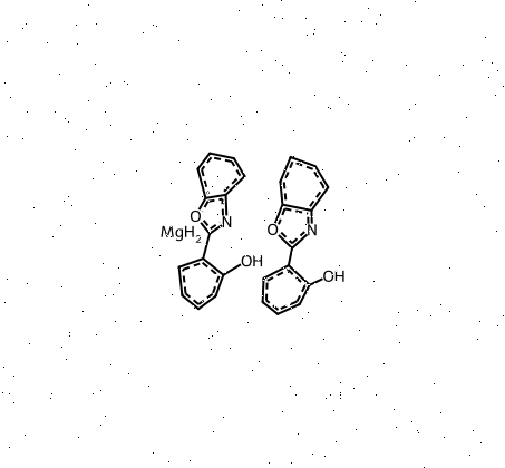 Oc1ccccc1-c1nc2ccccc2o1.Oc1ccccc1-c1nc2ccccc2o1.[MgH2]